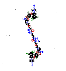 O=C(NCCCCNC(=O)NCCOCCN1CC[C@H](NS(=O)(=O)c2ccc(O[C@H]3c4cc(Cl)cc(Cl)c4C[C@@H]3N3CCNCC3)c(F)c2)C1)NCCOCCN1CC[C@H](NS(=O)(=O)c2ccc(O[C@H]3c4cc(Cl)cc(Cl)c4C[C@@H]3N3CCNCC3)c(F)c2)C1